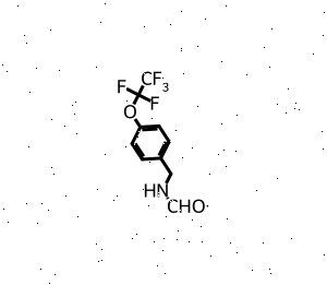 O=[C]NCc1ccc(OC(F)(F)C(F)(F)F)cc1